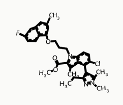 CCc1nn(C)c(C)c1-c1c(Cl)ccc2c1c(C)c(C(=O)OC)n2CCCOc1cc(C)cc2cc(F)ccc12